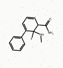 CNC1(F)C(c2ccccc2)=CC=CC1C(N)=O